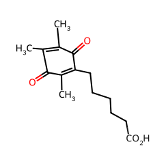 CC1=C(C)C(=O)C(CCCCCC(=O)O)=C(C)C1=O